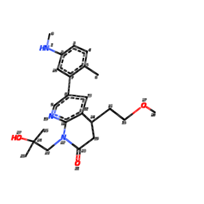 CNc1ccc(C)c(-c2cnc3c(c2)C(CCOC)CC(=O)N3CC(C)(C)O)c1